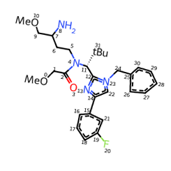 COCC(=O)N(CCC(N)COC)[C@@H](c1nc(-c2cccc(F)c2)cn1Cc1ccccc1)C(C)(C)C